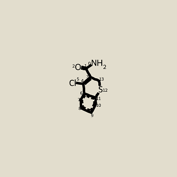 NC(=O)C1=C(Cl)c2ccccc2SC1